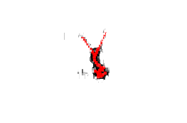 CCCCCCCCCCCCCCCC(=O)OC[C@H](COP(=O)(O)OCCNC(=O)COc1ccc2nc1CN(CC(=O)OC)C1(C)CN(C)CC(=O)C[C@@H]1CC(=O)CN(C)C2)OC(=O)CCCCCCCCCCCCCCC